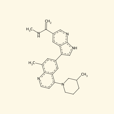 C=C(NC)c1cnc2[nH]cc(-c3cc(C)c4nccc(N5CCCC(C)C5)c4c3)c2c1